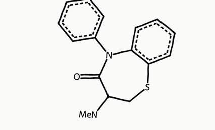 CNC1CSc2ccccc2N(c2ccccc2)C1=O